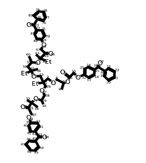 CCC(COCC(C)OC(=O)COc1ccc(C(=O)c2ccccc2)cc1)(COCC(C)OC(C)(C)C(=O)COc1ccc(C(=O)c2ccccc2)cc1)COC(C)(CC)CC(C)OC(C)(CC)C(=O)COc1ccc(C(=O)c2ccccc2)cc1